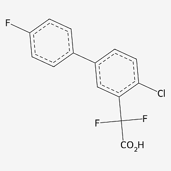 O=C(O)C(F)(F)c1cc(-c2ccc(F)cc2)ccc1Cl